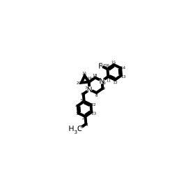 CCc1ccc(CN2CCN(c3ccccc3F)CC23CC3)cc1